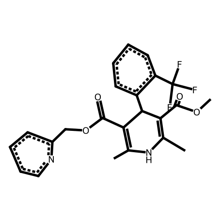 COC(=O)C1=C(C)NC(C)=C(C(=O)OCc2ccccn2)C1c1ccccc1C(F)(F)F